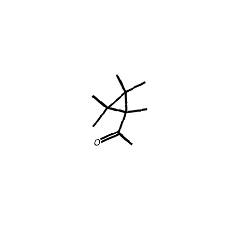 CC(=O)C1(C)C(C)(C)C1(C)C